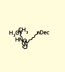 CCCCCCCCCCCCCCCCCC(=O)N1CCCCC1CCNCCCN(C)C